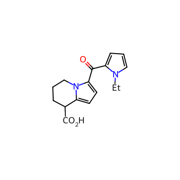 CCn1cccc1C(=O)c1ccc2n1CCCC2C(=O)O